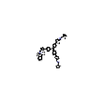 O=C1/C(=C\c2ccc(-c3ccc(N(c4ccc(-c5ccc(/C=C/C6=CC=CC6)s5)cc4)c4ccc(-c5ccc(/C=C/c6cccs6)s5)cc4)cc3)s2)Oc2ccccc21